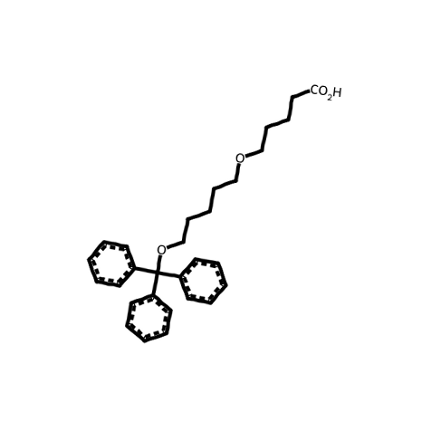 O=C(O)CCCCOCCCCCOC(c1ccccc1)(c1ccccc1)c1ccccc1